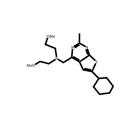 COCCN(CCOC)Cc1nc(C)nc2sc(C3CCCCC3)cc12